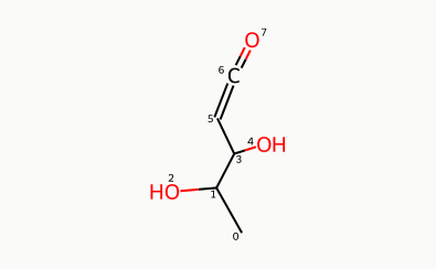 CC(O)C(O)C=C=O